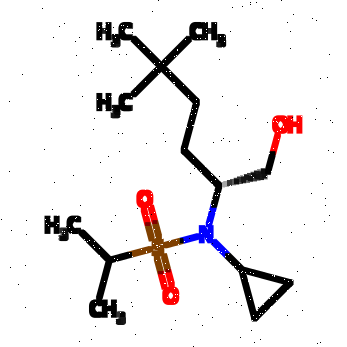 CC(C)S(=O)(=O)N(C1CC1)[C@@H](CO)CCC(C)(C)C